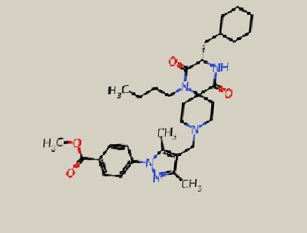 CCCCN1C(=O)[C@H](CC2CCCCC2)NC(=O)C12CCN(Cc1c(C)nn(-c3ccc(C(=O)OC)cc3)c1C)CC2